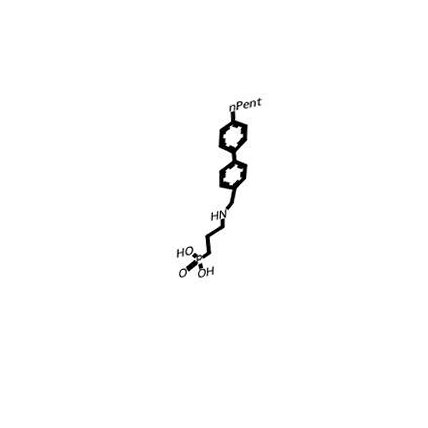 CCCCCc1ccc(-c2ccc(CNCCCP(=O)(O)O)cc2)cc1